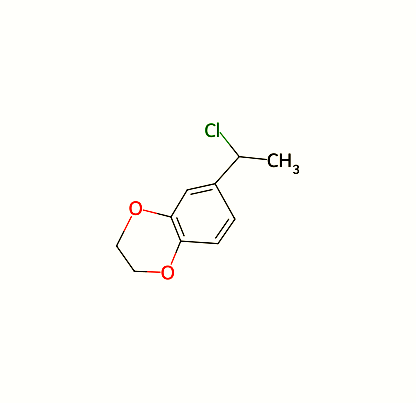 CC(Cl)c1ccc2c(c1)OCCO2